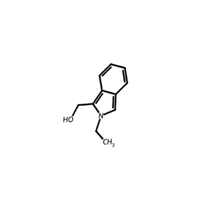 CCn1cc2ccccc2c1CO